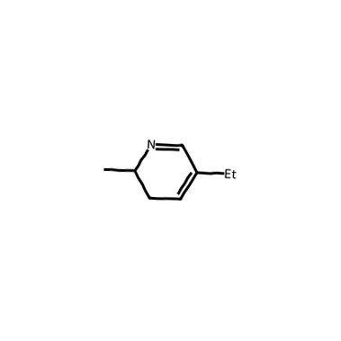 CCC1=CCC(C)N=C1